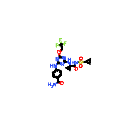 NC(=O)c1ccc(Nc2nc(NC3(C(=O)NS(=O)(=O)C4CC4)CC3)nc(OCC(F)(F)F)n2)cc1